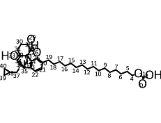 O=C(O)OCCCCCCCCCCCCCCCCc1ccc2c3c1O[C@H]1C(=O)CC[C@@]4(O)C(C2)N(CC2CC2)CC[C@]314